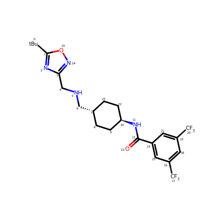 CC(C)(C)c1nc(CNC[C@H]2CC[C@H](NC(=O)c3cc(C(F)(F)F)cc(C(F)(F)F)c3)CC2)no1